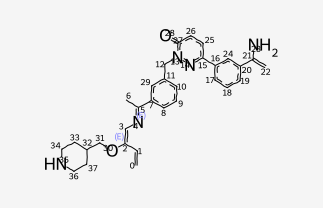 C=C/C(=C\N=C(/C)c1cccc(Cn2nc(-c3cccc(C(=C)N)c3)ccc2=O)c1)OCC1CCNCC1